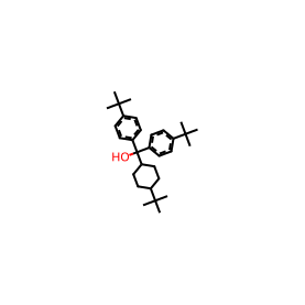 CC(C)(C)c1ccc(C(O)(c2ccc(C(C)(C)C)cc2)C2CCC(C(C)(C)C)CC2)cc1